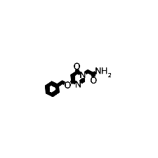 NC(=O)Cn1cnc(OCc2ccccc2)cc1=O